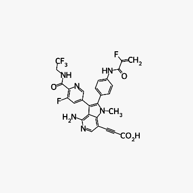 C=C(F)C(=O)Nc1ccc(-c2c(-c3cnc(C(=O)NCC(F)(F)F)c(F)c3)c3c(N)ncc(C#CC(=O)O)c3n2C)cc1